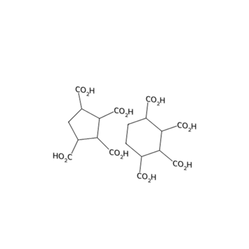 O=C(O)C1CC(C(=O)O)C(C(=O)O)C1C(=O)O.O=C(O)C1CCC(C(=O)O)C(C(=O)O)C1C(=O)O